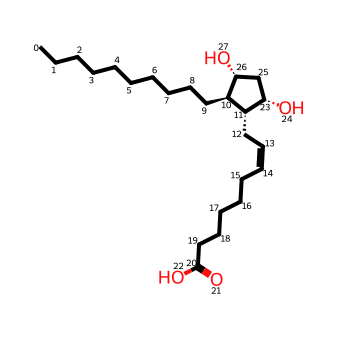 CCCCCCCCCC[C@@H]1[C@@H](C/C=C\CCCCCC(=O)O)[C@@H](O)C[C@H]1O